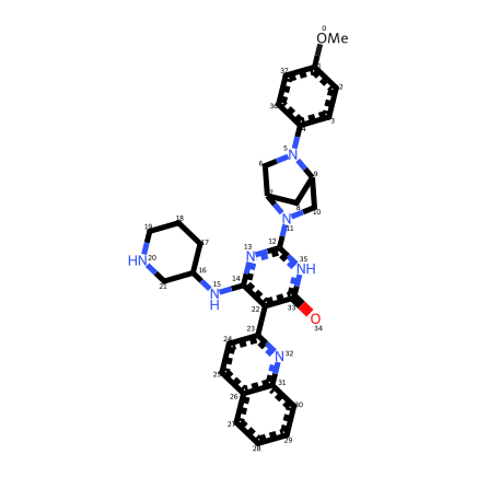 COc1ccc(N2CC3CC2CN3c2nc(NC3CCCNC3)c(-c3ccc4ccccc4n3)c(=O)[nH]2)cc1